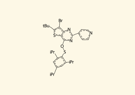 CC(C)c1cc(C(C)C)c(SOc2nc(-c3ccncc3)nc3c(Br)c(C(C)(C)C)sc23)c(C(C)C)c1